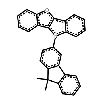 CC1(C)c2ccccc2-c2cc(-n3c4ccccc4c4oc5ccccc5c43)ccc21